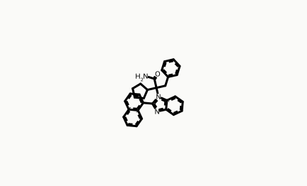 NC(=O)C(Cc1ccccc1)(C1CCCC1)n1c(-c2cccc3ccccc23)nc2ccccc21